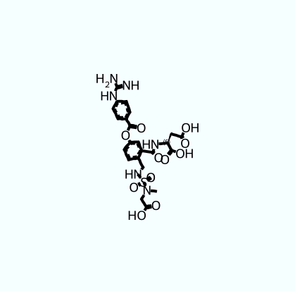 CN(CC(=O)O)S(=O)(=O)NCc1ccc(OC(=O)c2ccc(NC(=N)N)cc2)cc1C(=O)N[C@@H](CC(=O)O)C(=O)O